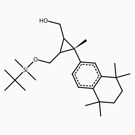 CC1(C)CCC(C)(C)c2cc([C@@]3(C)C(CO)C3CO[Si](C)(C)C(C)(C)C)ccc21